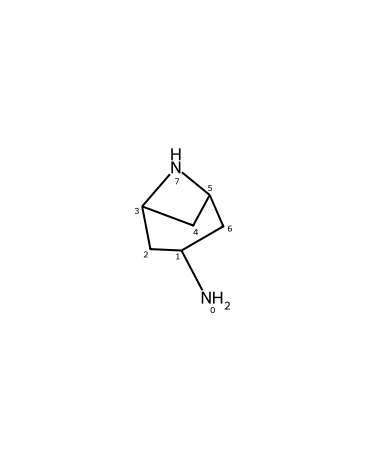 NC1CC2CC(C1)N2